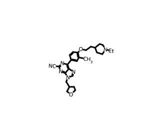 CCN1CCC(CCOc2ccc(-c3nc(C#N)nc4c3ncn4CC3CCOC3)cc2C)CC1